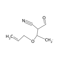 [CH2]C(OCC=C)C(C#N)C=O